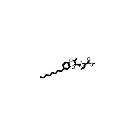 CCCCCCCCc1ccc(OC(C)C(=O)c2nc(C(=O)OC)cs2)cc1